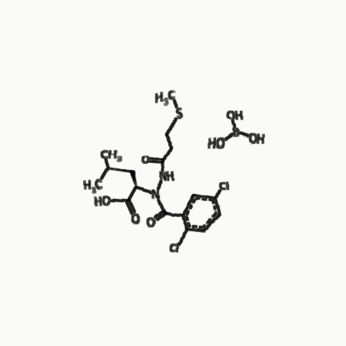 CSCCC(=O)NN(C(=O)c1cc(Cl)ccc1Cl)[C@H](CC(C)C)C(=O)O.OB(O)O